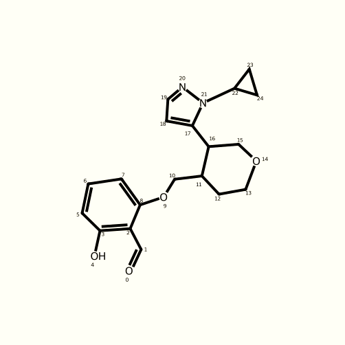 O=Cc1c(O)cccc1OCC1CCOCC1c1ccnn1C1CC1